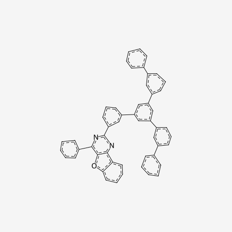 c1ccc(-c2cccc(-c3cc(-c4cccc(-c5ccccc5)c4)cc(-c4cccc(-c5nc(-c6ccccc6)c6oc7ccccc7c6n5)c4)c3)c2)cc1